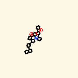 c1cc(-c2ccc(N(c3ccccc3-c3ccc4c(c3)oc3ccccc34)c3cccc4oc5ccccc5c34)cc2)cc(-c2cccc3ccccc23)c1